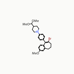 COc1ccc2c(c1)CCCC(Br)=C2c1ccc(N2CCC(C(OC)OC)CC2)cc1